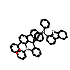 c1ccc(-c2ccc3c4c2N(c2ccccc2)c2ccccc2C4(c2ccccc2)c2cc(N(c4ccccc4)c4cccc5c4oc4ccccc45)ccc2-3)cc1